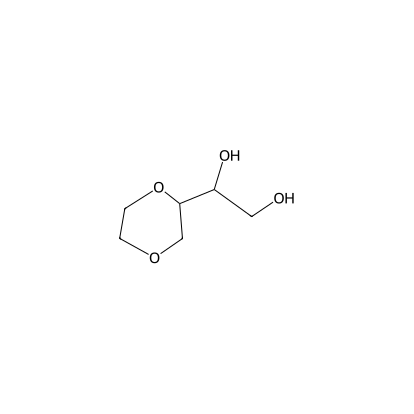 OCC(O)C1COCCO1